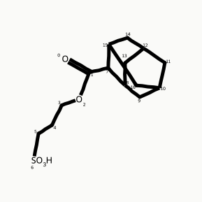 O=C(OCCCS(=O)(=O)O)C1C2CC3CC(C2)CC1C3